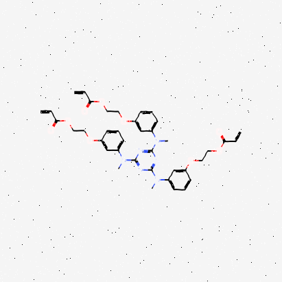 C=CC(=O)OCCOc1cccc(N(C)c2nc(N(C)c3cccc(OCCOC(=O)C=C)c3)nc(N(C)c3cccc(OCCOC(=O)C=C)c3)n2)c1